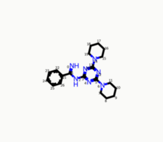 N=C(Nc1nc(N2CCCCC2)nc(N2CCCCC2)n1)c1ccccc1